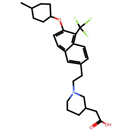 CC1CCC(Oc2ccc3cc(CCN4CCCC(CC(=O)O)C4)ccc3c2C(F)(F)F)CC1